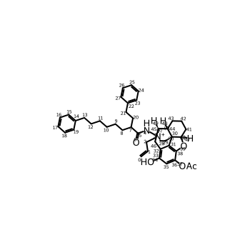 C=CC[N+]1(NC(=O)C(CCCCCCc2ccccc2)CCc2ccccc2)CC[C@]23c4c5c(O)cc(OC(C)=O)c4O[C@H]2CCC[C@H]3[C@H]1C5